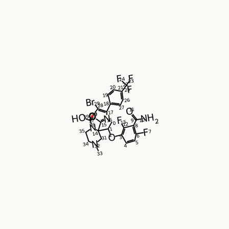 CC(Oc1ccc(F)c(C(N)=O)c1F)C1(c2nc(-c3ccc(C(F)(F)F)cc3)c(Br)o2)CN(C)CCN1C(=O)O